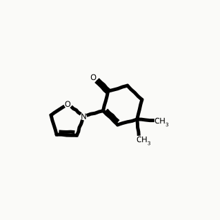 CC1(C)C=C(N2C=CCO2)C(=O)CC1